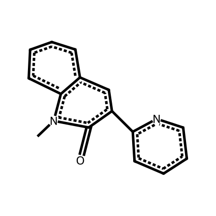 Cn1c(=O)c(-c2ccccn2)cc2ccccc21